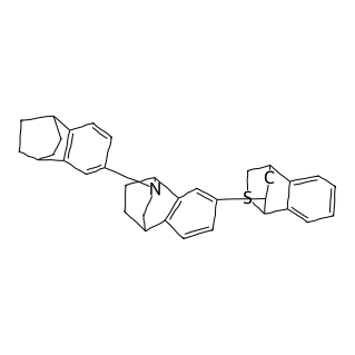 c1ccc2c(c1)C1CSC2C(c2ccc3c(c2)C2CCC3CN2c2ccc3c(c2)C2CCC3CC2)C1